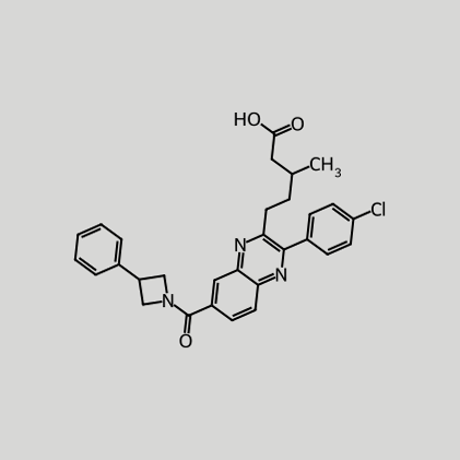 CC(CCc1nc2cc(C(=O)N3CC(c4ccccc4)C3)ccc2nc1-c1ccc(Cl)cc1)CC(=O)O